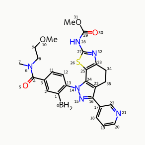 Bc1cc(C(=O)N(C)CCOC)ccc1-n1nc(-c2cccnc2)c2c1-c1sc(NC(=O)OC)nc1CC2